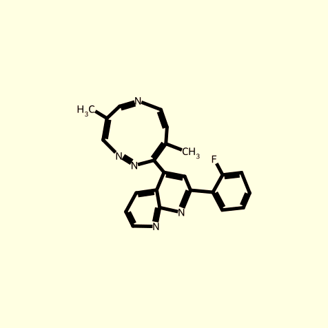 Cc1cnccc(C)c(-c2cc(-c3ccccc3F)nc3ncccc23)nnc1